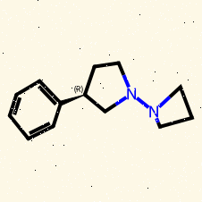 c1ccc([C@H]2CCN(N3CCC3)C2)cc1